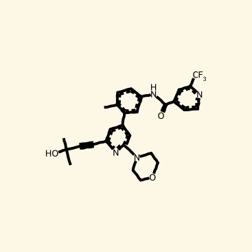 Cc1ccc(NC(=O)c2ccnc(C(F)(F)F)c2)cc1-c1cc(C#CC(C)(C)O)nc(N2CCOCC2)c1